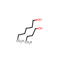 O=C(O)CCCCCO.O=C(O)CCCO